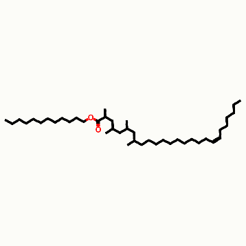 CCCCCC/C=C\CCCCCCCCCCC(C)CC(C)CC(C)CC(C)C(=O)OCCCCCCCCCCCC